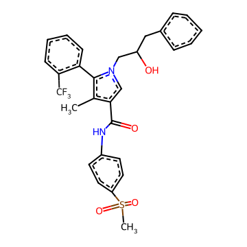 Cc1c(C(=O)Nc2ccc(S(C)(=O)=O)cc2)cn(CC(O)Cc2ccccc2)c1-c1ccccc1C(F)(F)F